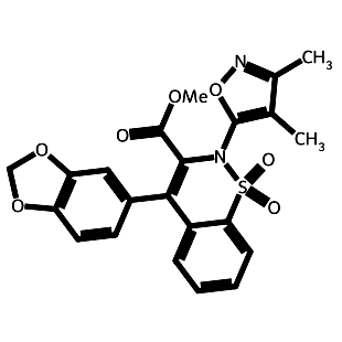 COC(=O)C1=C(c2ccc3c(c2)OCO3)c2ccccc2S(=O)(=O)N1c1onc(C)c1C